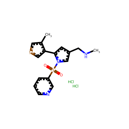 CNCc1cc(-c2cscc2C)n(S(=O)(=O)c2cccnc2)c1.Cl.Cl